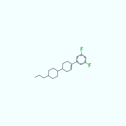 CCCC1CCC(C2CC=C(c3cc(F)cc(F)c3)CC2)CC1